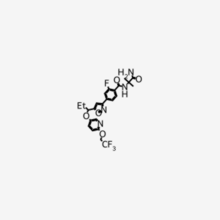 CCC(Oc1ccc(OCC(F)(F)F)nc1)c1cc(-c2ccc(C(=O)NC(C)(C)C(N)=O)c(F)c2)no1